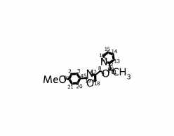 COc1ccc(-c2nc(CO[C@H](C)c3ccccn3)co2)cc1